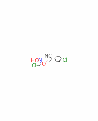 N#CC(CCOC(CCl)=NO)c1ccc(Cl)cc1